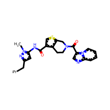 CC(C)Cc1cc(NC(=O)c2csc3c2CCN(C(=O)c2cnc4ccccn24)C3)n(C)n1